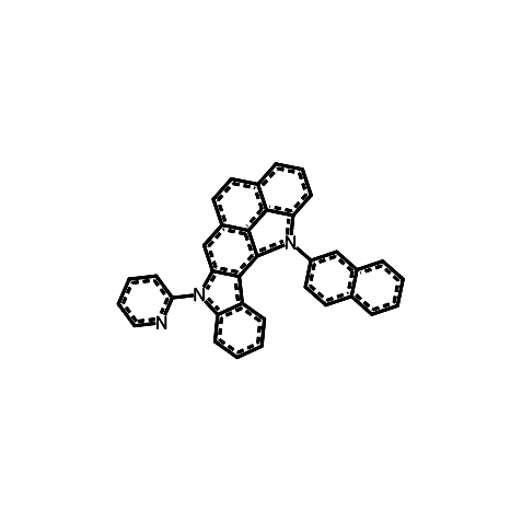 c1ccc(-n2c3ccccc3c3c2cc2ccc4cccc5c4c2c3n5-c2ccc3ccccc3c2)nc1